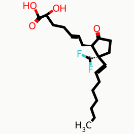 CCCCCCC=C[C@]1([C](F)F)CCC(=O)[C@@H]1CC=CCCC(O)C(=O)O